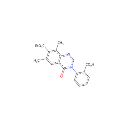 CCOC(=O)c1c(C)cc2c(=O)n(-c3ccccc3C(=O)O)cnc2c1C